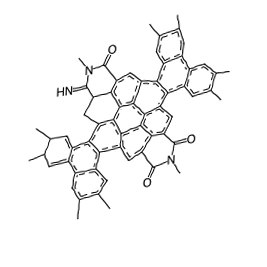 Cc1cc2c3c(c4c5c6c7c8c(cc9c%10c%11cc(C)c(C)cc%11c%11cc(C)c(C)cc%11c%10c%10cc%11c%12c(cc(c4c2cc1C)c6c%12c%10c97)C(=O)N(C)C%11=O)C(=O)N(C)C(=N)C8C5)=CC(C)C(C)C=3